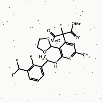 COC(=O)C(F)(C(=O)OC)c1nc(C)nc(NC(C)c2cccc(C(F)F)c2F)c1C1OCCO1